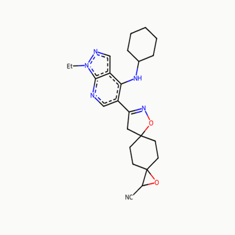 CCn1ncc2c(NC3CCCCC3)c(C3=NOC4(CCC5(CC4)OC5C#N)C3)cnc21